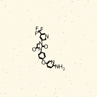 Nc1ccc(Oc2ccc(N3C(=O)CN(c4cncc(C(F)(F)F)c4)C3=O)cc2)cn1